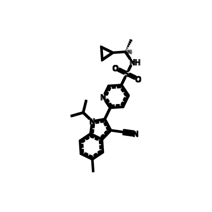 Cc1ccc2c(c1)c(C#N)c(-c1ccc(S(=O)(=O)N[C@@H](C)C3CC3)cn1)n2C(C)C